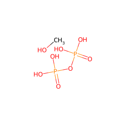 CO.O=P(O)(O)OP(=O)(O)O